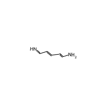 N=CC=CC=CN